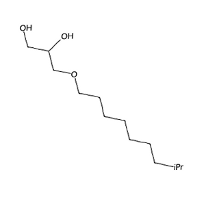 CC(C)CCCCCCCOCC(O)CO